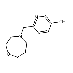 Cc1ccc(CN2CCCOCC2)nc1